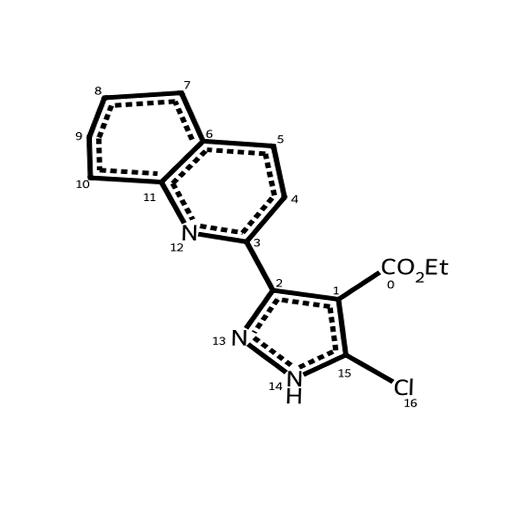 CCOC(=O)c1c(-c2ccc3ccccc3n2)n[nH]c1Cl